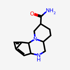 NC(=O)C1CCC2CNC3C=C4C=C4C3N2C1